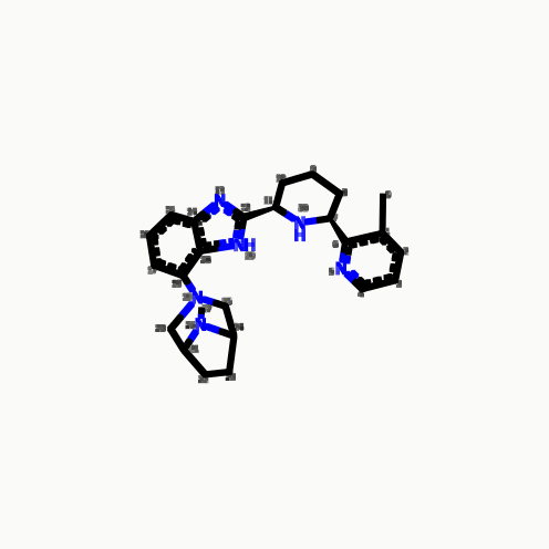 Cc1cccnc1[C@@H]1CCC[C@H](c2nc3cccc(N4CC5CCC(C4)N5C)c3[nH]2)N1